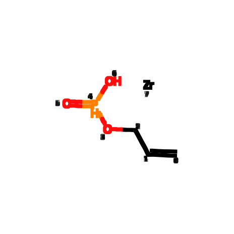 C=CCO[PH](=O)O.[Zr]